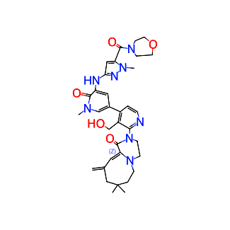 C=C1/C=C2/C(=O)N(c3nccc(-c4cc(Nc5cc(C(=O)N6CCOCC6)n(C)n5)c(=O)n(C)c4)c3CO)CCN2CCC(C)(C)C1